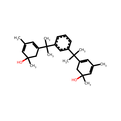 CC1=CC(C)(O)CC(C(C)(C)c2cccc(C(C)(C)C3=CC(C)=CC(C)(O)C3)c2)=C1